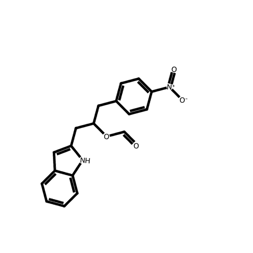 O=COC(Cc1ccc([N+](=O)[O-])cc1)Cc1cc2ccccc2[nH]1